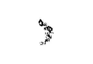 CC(C)(C)c1nnc(NC(=O)C2CC3CCC2N(S(=O)(=O)c2ccccc2)C3)s1